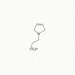 O=C(O)CCN1CC=CC1